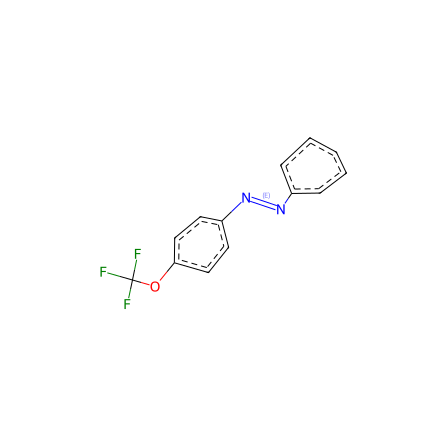 FC(F)(F)Oc1ccc(/N=N/c2ccccc2)cc1